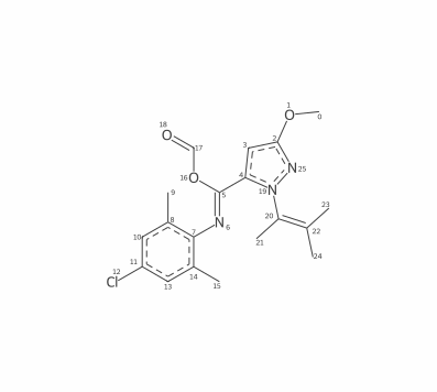 COc1cc(/C(=N/c2c(C)cc(Cl)cc2C)OC=O)n(C(C)=C(C)C)n1